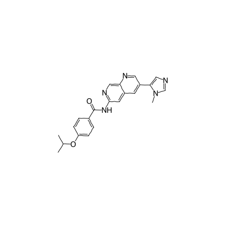 CC(C)Oc1ccc(C(=O)Nc2cc3cc(-c4cncn4C)cnc3cn2)cc1